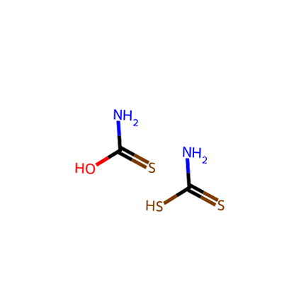 NC(=S)S.NC(O)=S